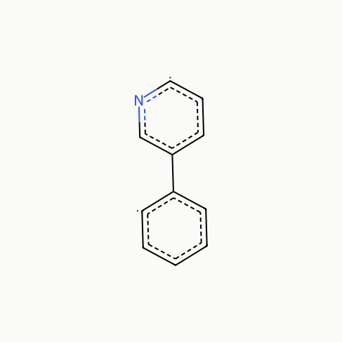 [c]1ccc(-c2[c]cccc2)cn1